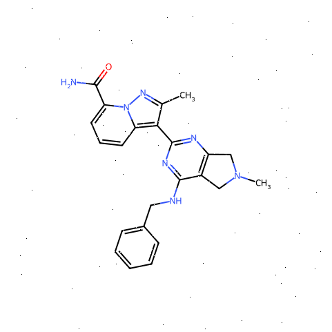 Cc1nn2c(C(N)=O)cccc2c1-c1nc2c(c(NCc3ccccc3)n1)CN(C)C2